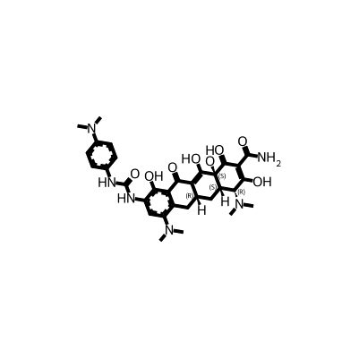 CN(C)c1ccc(NC(=O)Nc2cc(N(C)C)c3c(c2O)C(=O)C2=C(O)[C@]4(O)C(=O)C(C(N)=O)=C(O)[C@H](N(C)C)[C@@H]4C[C@@H]2C3)cc1